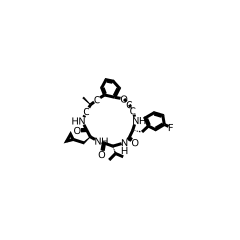 CC(C)[C@H]1NC(=O)[C@@H](Cc2cccc(F)c2)NCCOc2ccccc2C[C@H](C)CNC(=O)[C@H](CC2CC2)NC1=O